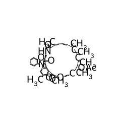 CC(=O)OC1C(C)CC=COC2(C)Oc3c(C)cc4c(=O)c(c5oc6ccccc6nc-5c4c3C2=O)NC(=O)C(C)=CC=CC(C)CC(C)CC1C